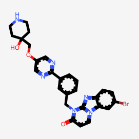 O=c1ccn2c3cc(Br)ccc3nc2n1Cc1cccc(-c2ncc(OCC3(O)CCNCC3)cn2)c1